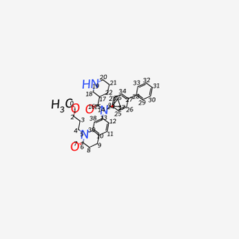 COCCCN1C(=O)CCc2ccc(N(C(=O)C3CNCC[C@@H]3c3cccc(-c4ccccc4)c3)C3CC3)cc21